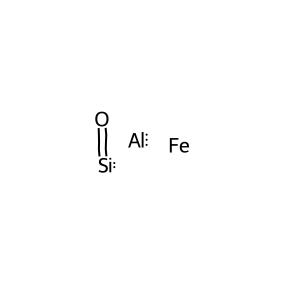 O=[Si].[Al].[Fe]